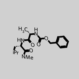 [CH2]NC(=O)[C@H](CC(C)C)NC(=O)[C@H](C)NC(=O)OCc1ccccc1